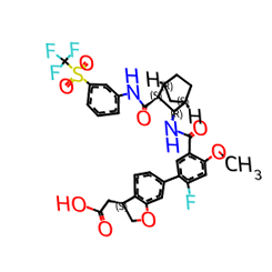 COc1cc(F)c(-c2ccc3c(c2)OC[C@H]3CC(=O)O)cc1C(=O)N[C@@H]1[C@H]2CC[C@H](C2)[C@@H]1C(=O)Nc1cccc(S(=O)(=O)C(F)(F)F)c1